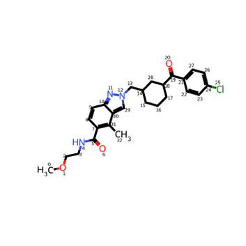 COCCNC(=O)c1ccc2nn(CC3CCCC(C(=O)c4ccc(Cl)cc4)C3)cc2c1C